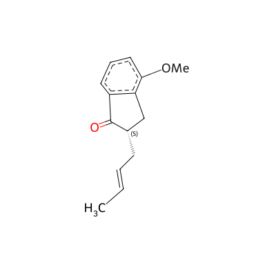 CC=CC[C@H]1Cc2c(OC)cccc2C1=O